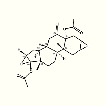 CC(=O)O[C@@]12O[C@@H]1C[C@H]1[C@@H]3C[C@@H](Cl)[C@@]4(OC(C)=O)CC5OC5C[C@]4(C)[C@H]3CC[C@@]12C